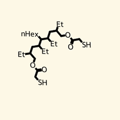 CCCCCCC(C(CC)CC(CC)COC(=O)CS)C(CC)CC(CC)COC(=O)CS